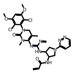 C=CC(=O)NC1CN(c2cccnn2)CC1N/C(N=C)=N/C1=C(C)CN(c2c(Cl)c(OC)cc(OC)c2Cl)C(=O)N1C